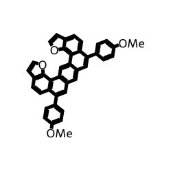 COc1ccc(-c2cc3cc4cc(-c5ccc(OC)cc5)c5ccc6ccoc6c5c4cc3c3c2ccc2ccoc23)cc1